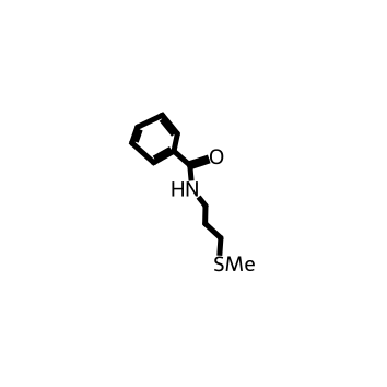 CSCCCNC(=O)c1ccccc1